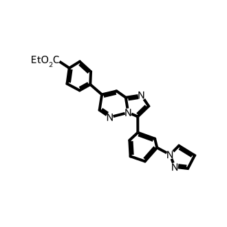 CCOC(=O)c1ccc(-c2cnn3c(-c4cccc(-n5cccn5)c4)cnc3c2)cc1